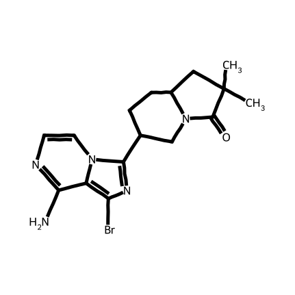 CC1(C)CC2CCC(c3nc(Br)c4c(N)nccn34)CN2C1=O